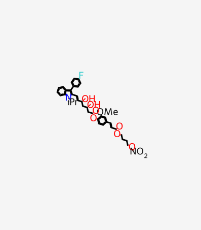 COc1cc(/C=C/C(=O)OCCCCO[N+](=O)[O-])ccc1OC(=O)C[C@H](O)C[C@H](O)/C=C/c1c(-c2ccc(F)cc2)c2ccccc2n1C(C)C